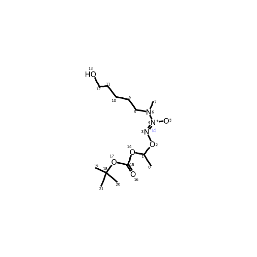 CC(O/N=[N+](\[O-])N(C)CCCCCO)OC(=O)OC(C)(C)C